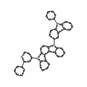 c1ccc(-c2cc(-n3c4ccccc4c4c5c6ccccc6n(-c6ccc7c(c6)c6ccccc6n7-c6ccccc6)c5ccc43)ccn2)cc1